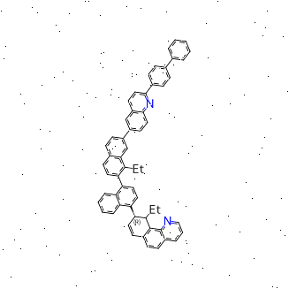 CCc1c(-c2ccc([C@@H]3C=Cc4ccc5cccnc5c4C3CC)c3ccccc23)ccc2ccc(-c3ccc4nc(-c5ccc(-c6ccccc6)cc5)ccc4c3)cc12